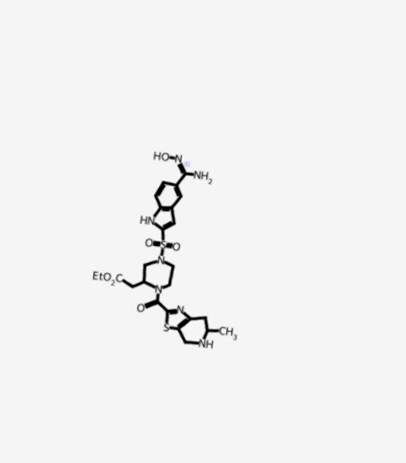 CCOC(=O)CC1CN(S(=O)(=O)c2cc3cc(/C(N)=N\O)ccc3[nH]2)CCN1C(=O)c1nc2c(s1)CNC(C)C2